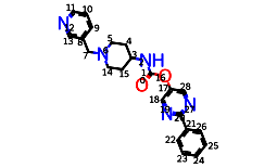 O=C(NC1CCN(Cc2cccnc2)CC1)Oc1cnc(-c2ccccc2)nc1